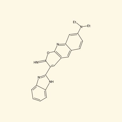 CCN(CC)c1ccc2cc3cc(-c4nc5ccccc5[nH]4)c(=N)oc3nc2c1